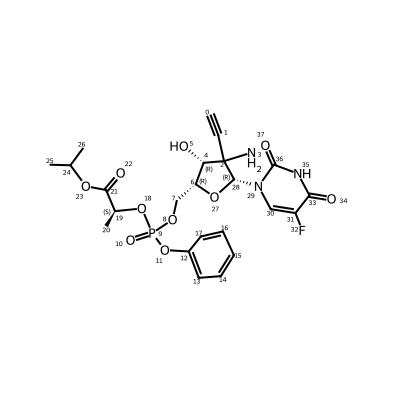 C#CC1(N)[C@@H](O)[C@@H](COP(=O)(Oc2ccccc2)O[C@@H](C)C(=O)OC(C)C)O[C@H]1n1cc(F)c(=O)[nH]c1=O